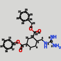 N=C(N)NCC1CCC(C(=O)Oc2ccccc2)CC1C(=O)OCc1ccccc1